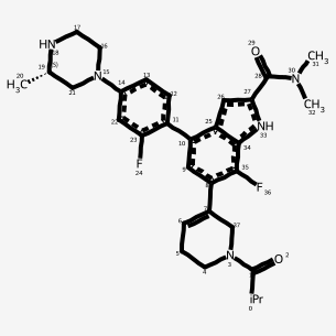 CC(C)C(=O)N1CCC=C(c2cc(-c3ccc(N4CCN[C@@H](C)C4)cc3F)c3cc(C(=O)N(C)C)[nH]c3c2F)C1